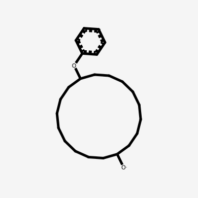 [O]C1CCCCCCCCC(Oc2cc[c]cc2)CCCCCCCC1